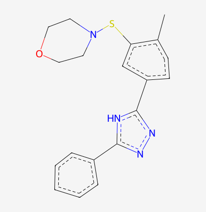 Cc1ccc(-c2nnc(-c3ccccc3)[nH]2)cc1SN1CCOCC1